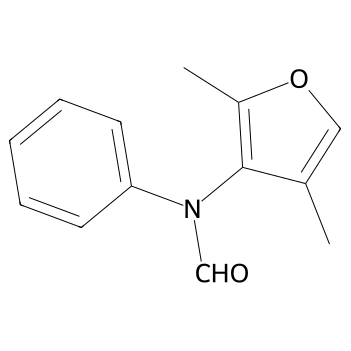 Cc1coc(C)c1N(C=O)c1ccccc1